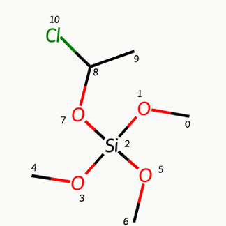 CO[Si](OC)(OC)OC(C)Cl